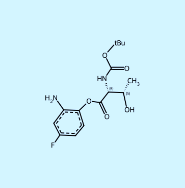 C[C@H](O)[C@@H](NC(=O)OC(C)(C)C)C(=O)Oc1ccc(F)cc1N